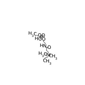 CCC[N+](C)(C)CCC(=O)NCCOP(=O)(O)OCC